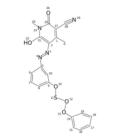 Cc1c(/N=N/c2cccc(OSOOc3ccccc3)c2)c(O)n(C)c(=O)c1C#N